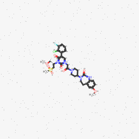 COC[C@@H](CS(C)(=O)=O)n1c(=O)c(-c2cccc(F)c2Cl)cn(CC(=O)N2CCC(N3CCc4cc(OC)ccc4NC3=O)CC2)c1=O